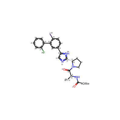 COC(=O)N[C@H](C(=O)N1CCC[C@H]1c1ncc(-c2ccc(I)c(-c3ccccc3F)c2)[nH]1)C(C)C